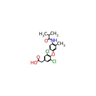 Cc1cc(Oc2c(Cl)cc(CC(=O)O)cc2Cl)ccc1NC(=O)C(C)C